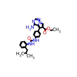 CCOC(=O)c1cn2ncnc(N)c2c1-c1ccc(NC(=O)Nc2ccccc2CC(C)C)cc1